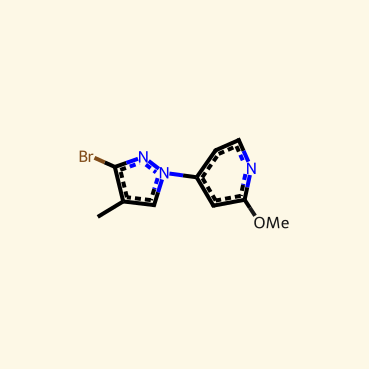 COc1cc(-n2cc(C)c(Br)n2)ccn1